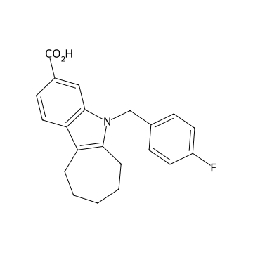 O=C(O)c1ccc2c3c(n(Cc4ccc(F)cc4)c2c1)CCCCC3